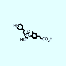 Cc1cc(CCC(=O)O)ccc1N1CCN(CCC2CCNCC2)C1=O.Cl